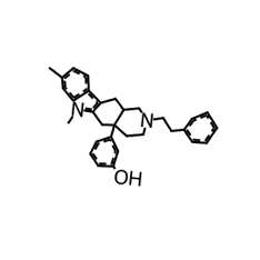 Cc1ccc2c3c(n(C)c2c1)CC1(c2cccc(O)c2)CCN(CCc2ccccc2)CC1C3